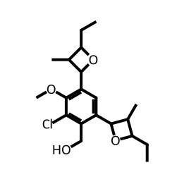 CCC1OC(c2cc(C3OC(CC)C3C)c(OC)c(Cl)c2CO)C1C